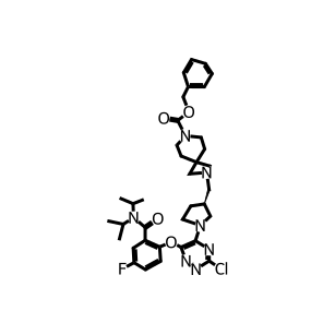 CC(C)N(C(=O)c1cc(F)ccc1Oc1nnc(Cl)nc1N1CC[C@@H](CN2CC3(CCN(C(=O)OCc4ccccc4)CC3)C2)C1)C(C)C